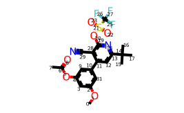 COc1cc(OC(C)=O)cc(-c2cc(C(C)(C)C)nc(OS(=O)(=O)C(F)(F)F)c2C#N)c1